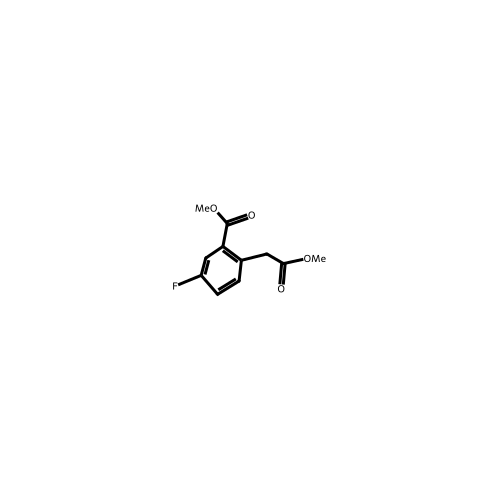 COC(=O)Cc1ccc(F)cc1C(=O)OC